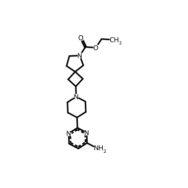 CCOC(=O)N1CCC2(CC(N3CCC(c4nccc(N)n4)CC3)C2)C1